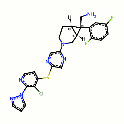 NC[C@]1(c2cc(F)ccc2F)[C@@H]2CCN(c3cnc(Sc4ccnc(-n5cccn5)c4Cl)cn3)C[C@@H]21